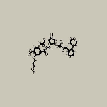 COCCCOc1cc(C(=O)N(C[C@@H]2CNC[C@H]2OC(=O)NCc2ccccc2N2CCOCC2)C(C)C)ccc1OC